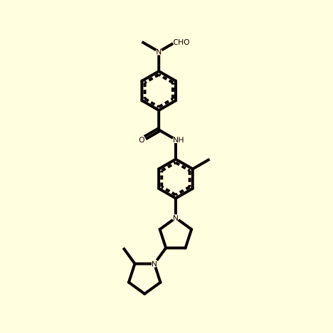 Cc1cc(N2CCC(N3CCCC3C)C2)ccc1NC(=O)c1ccc(N(C)C=O)cc1